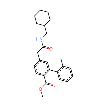 COC(=O)c1ccc(CC(=O)NCC2CCCCC2)cc1-c1ccccc1C